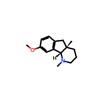 COc1ccc2c(c1)[C@H]1N(C)CCC[C@@]1(C)C2